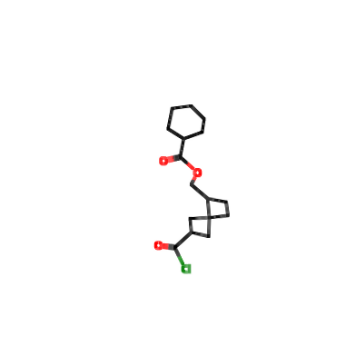 O=C(Cl)C1CC2(CCC2COC(=O)C2CCCCC2)C1